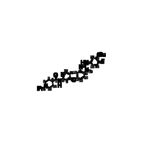 CC(C)N1CCC(C(=O)Nc2cc(Oc3ccc4c(c3)nc(Nc3ccc(F)c(C(C)(C)C)c3)n4C)ccn2)CC1